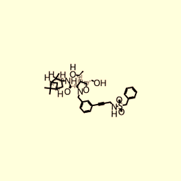 C[C@@H]1[C@@H](NC(=O)[C@@H]2[C@H]([C@H](C)O)[C@H](CO)ON2Cc2cccc(C#CCNS(=O)(=O)Cc3ccccc3)c2)C[C@H]2C[C@@H]1C2(C)C